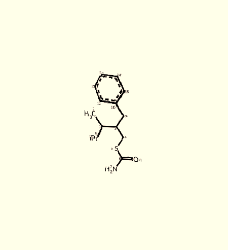 CC(C)C(C)C(CSC(N)=O)Cc1ccccc1